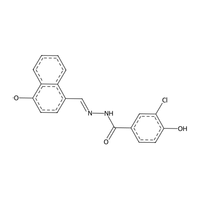 [O]c1ccc(C=NNC(=O)c2ccc(O)c(Cl)c2)c2ccccc12